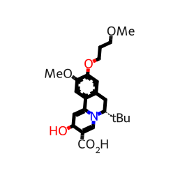 COCCCOc1cc2c(cc1OC)C1=CC(O)C(C(=O)O)=CN1[C@@H](C(C)(C)C)C2